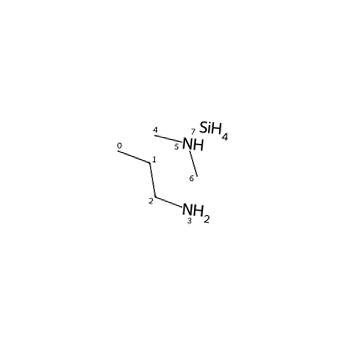 CCCN.CNC.[SiH4]